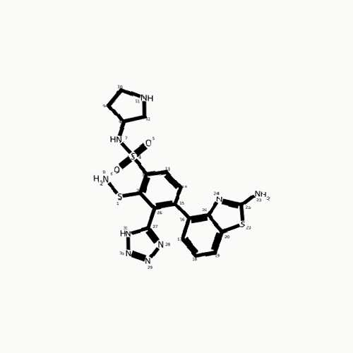 NSc1c(S(=O)(=O)NC2CCNC2)ccc(-c2cccc3sc(N)nc23)c1-c1nnn[nH]1